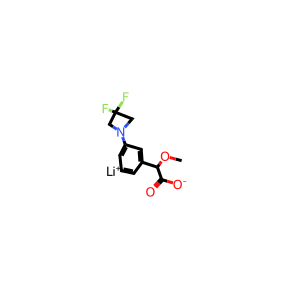 COC(C(=O)[O-])c1cccc(N2CC(F)(F)C2)c1.[Li+]